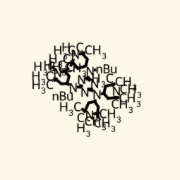 CCCCN(c1nc(N(CCCC)C2CC(C)(C)N(C)C(C)(C)C2)nc(N(C2CC(C)(C)N(C)C(C)(C)C2)C2CC(C)(C)N(C)C(C)(C)C2)n1)C1CC(C)(C)N(C)C(C)(C)C1